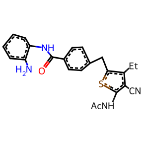 CCc1c(Cc2ccc(C(=O)Nc3ccccc3N)cc2)sc(NC(C)=O)c1C#N